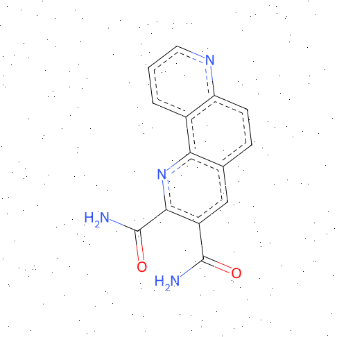 NC(=O)c1cc2ccc3ncccc3c2nc1C(N)=O